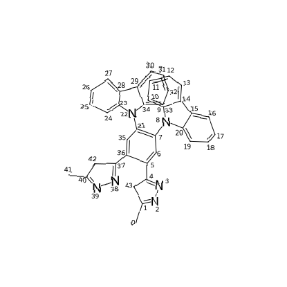 CC1=NN=C(c2cc(-n3c4ccccc4c4ccccc43)c(-n3c4ccccc4c4ccccc43)cc2C2=NN=C(C)C2)C1